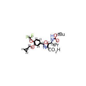 CC(C)[C@H](NC(=O)OC(C)(C)C)c1oc(-c2ccc(OC(F)F)c(OCC3CC3)c2)nc1C(=O)O